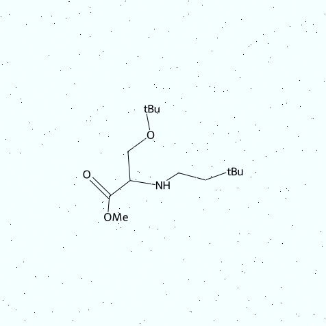 COC(=O)C(COC(C)(C)C)NCCC(C)(C)C